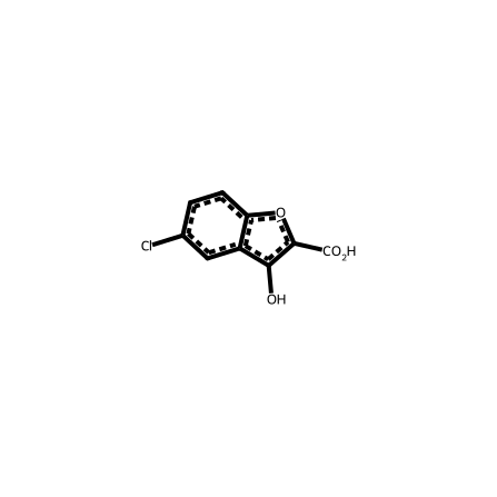 O=C(O)c1oc2ccc(Cl)cc2c1O